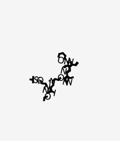 C=Cc1nn(C2CCCCO2)c2cnc(-c3c(C)nn(C)c3OCCN(C)Cc3c(I)c(OCC)nn3CCO[Si](C)(C)C(C)(C)C)cc12